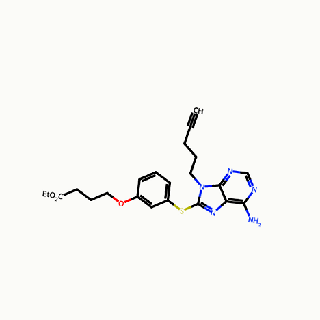 C#CCCCn1c(Sc2cccc(OCCCC(=O)OCC)c2)nc2c(N)ncnc21